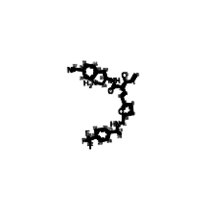 C=C/C(Cl)=C(\C=C\c1ccc(CNC(C)c2ccc(C(F)(F)F)cc2)o1)C(=O)N[C@@H](CN)Cc1ccc(C#N)cc1